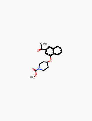 COC(=O)c1cc(OC2CCN(C(=O)OC(C)(C)C)CC2)c2ccccc2c1